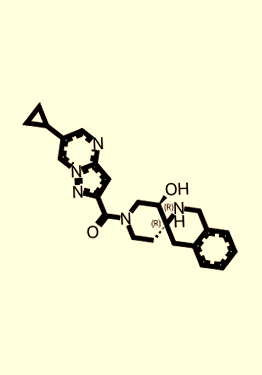 O=C(c1cc2ncc(C3CC3)cn2n1)N1CC[C@]2(Cc3ccccc3CN2)[C@H](O)C1